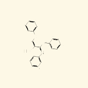 CC(=CSc1ccccc1)C(=Nc1ccccc1)Sc1ccccc1